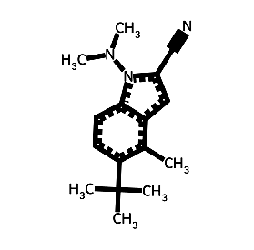 Cc1c(C(C)(C)C)ccc2c1cc(C#N)n2N(C)C